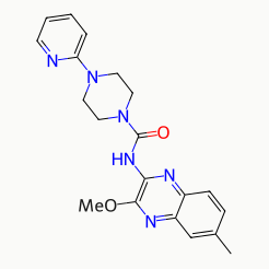 COc1nc2cc(C)ccc2nc1NC(=O)N1CCN(c2ccccn2)CC1